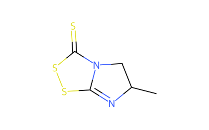 CC1CN2C(=S)SSC2=N1